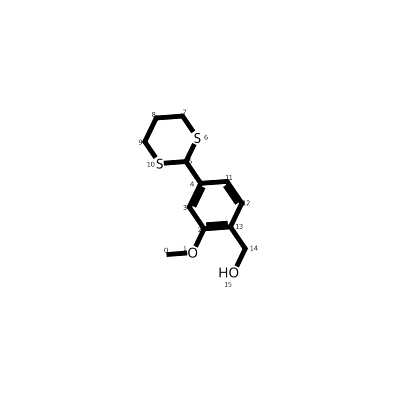 COc1cc(C2SCCCS2)ccc1CO